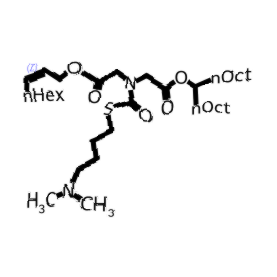 CCCCCC/C=C\COC(=O)CN(CC(=O)OC(CCCCCCCC)CCCCCCCC)C(=O)SCCCCN(C)C